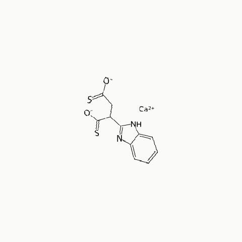 [Ca+2].[O-]C(=S)CC(C([O-])=S)c1nc2ccccc2[nH]1